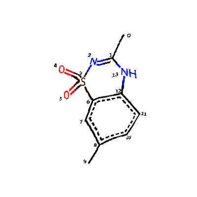 CC1=NS(=O)(=O)c2cc(C)ccc2N1